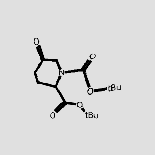 CC(C)(C)OC(=O)C1CCC(=O)CN1C(=O)OC(C)(C)C